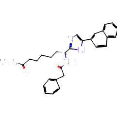 CNC(=O)CCCCC[C@H](NC(=O)Cc1ccccc1)c1ncc(-c2ccc3ccccc3c2)[nH]1